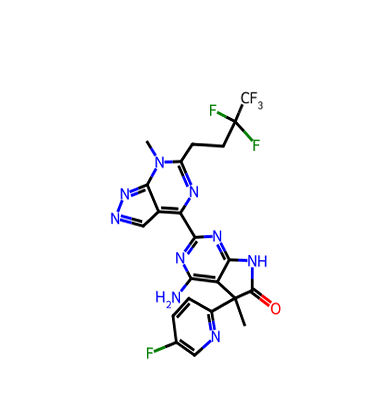 Cn1c(CCC(F)(F)C(F)(F)F)nc(-c2nc(N)c3c(n2)NC(=O)C3(C)c2ccc(F)cn2)c2cnnc1-2